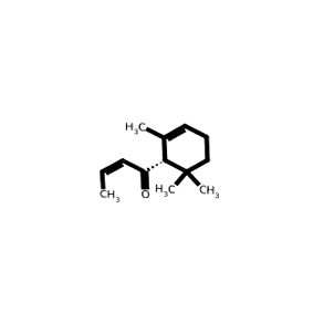 C/C=C\C(=O)[C@@H]1C(C)=CCCC1(C)C